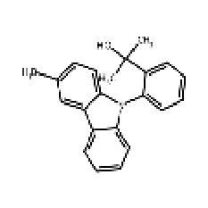 Bc1ccc2c(c1)c1ccccc1n2-c1ccccc1C(C)(C)O